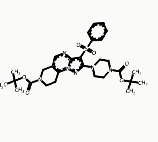 CC(C)(C)OC(=O)N1CCN(c2nn3c4c(cnc3c2S(=O)(=O)c2ccccc2)CN(C(=O)OC(C)(C)C)CC4)CC1